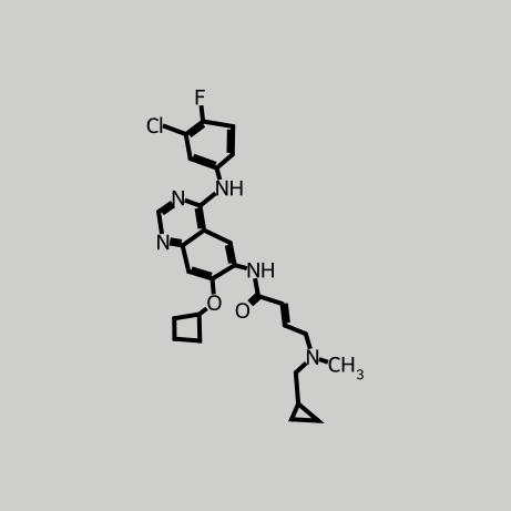 CN(CC=CC(=O)Nc1cc2c(Nc3ccc(F)c(Cl)c3)ncnc2cc1OC1CCC1)CC1CC1